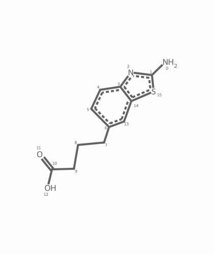 Nc1nc2ccc(CCCC(=O)O)cc2s1